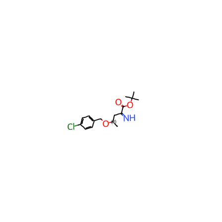 C[C@H](CC(=N)C(=O)OC(C)(C)C)OCc1ccc(Cl)cc1